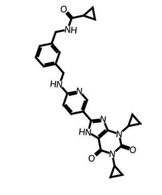 O=C(NCc1cccc(CNc2ccc(-c3nc4c([nH]3)c(=O)n(C3CC3)c(=O)n4C3CC3)cn2)c1)C1CC1